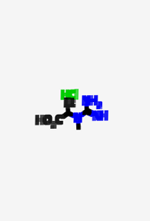 CCC(C(=O)O)N(C)C(=N)N.Cl